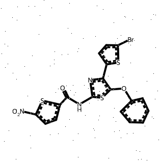 O=C(Nc1nc(-c2ccc(Br)s2)c(Oc2ccccc2)s1)c1ccc([N+](=O)[O-])s1